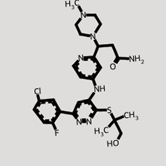 CN1CCN(C(CC(N)=O)c2cc(Nc3cc(-c4cc(Cl)ccc4F)nnc3SC(C)(C)CO)ccn2)CC1